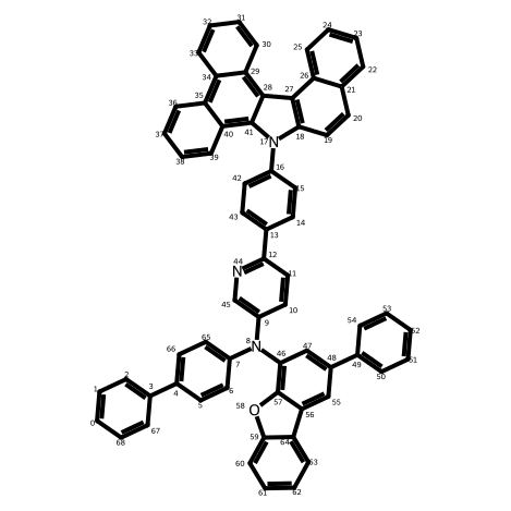 c1ccc(-c2ccc(N(c3ccc(-c4ccc(-n5c6ccc7ccccc7c6c6c7ccccc7c7ccccc7c65)cc4)nc3)c3cc(-c4ccccc4)cc4c3oc3ccccc34)cc2)cc1